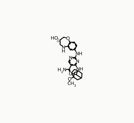 COC12CC3CC(C1)C(Nc1nc(Nc4ccc5c(c4)NC[C@H](O)CO5)ncc1C(N)=O)C2C3